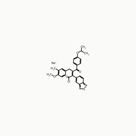 COc1ccc(CC(C(=O)c2ccc(OC(C)C)cc2)=C(C(=O)[O-])c2ccc3nsnc3c2)cc1C.[Na+]